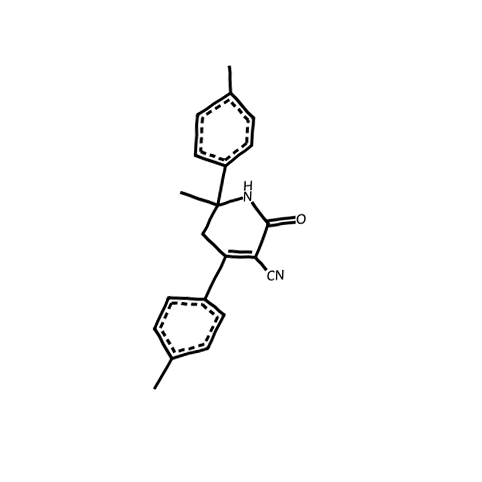 Cc1ccc(C2=C(C#N)C(=O)NC(C)(c3ccc(C)cc3)C2)cc1